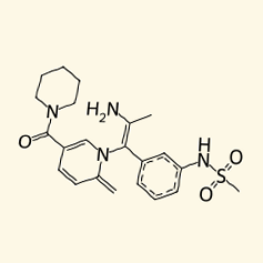 C=C1C=CC(C(=O)N2CCCCC2)=CN1/C(=C(/C)N)c1cccc(NS(C)(=O)=O)c1